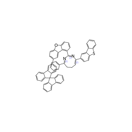 C1=C(c2ccc3sc4ccccc4c3c2)/N=C(c2cccc3oc4ccc(-c5ccc6c(c5)-c5ccccc5C65c6ccccc6-c6ccccc65)cc4c23)\N=C(\c2ccccc2)CC\1